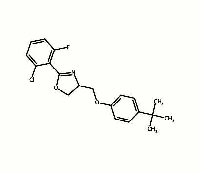 CC(C)(C)c1ccc(OCC2COC(c3c(F)cccc3Cl)=N2)cc1